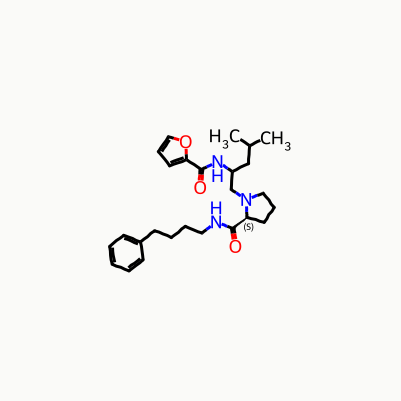 CC(C)CC(CN1CCC[C@H]1C(=O)NCCCCc1ccccc1)NC(=O)c1ccco1